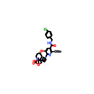 COc1nc(N2CC3(C(C)(C)O)CC2C3)c(O[C@H]2CCN3C(=O)OC[C@@H]3C2)cc1C(=O)NCc1ccc(Cl)cc1